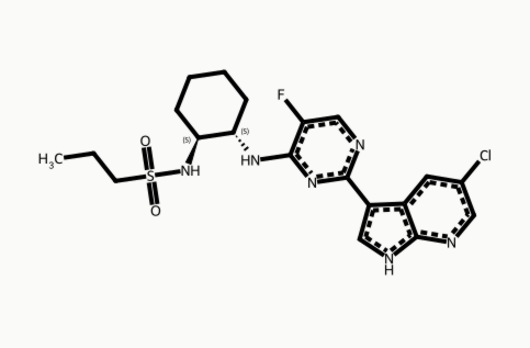 CCCS(=O)(=O)N[C@H]1CCCC[C@@H]1Nc1nc(-c2c[nH]c3ncc(Cl)cc23)ncc1F